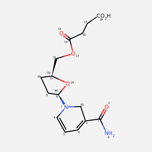 NC(=O)C1=CC=CN([C@H]2CC[C@@H](COC(=O)CCC(=O)O)O2)C1